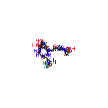 N=C(NCC/C=C1\NC(=O)/C(=C/CCCNC(=O)c2ccc(N/N=C/c3ccccc3S(=O)(=O)O)nc2)NC(=O)[C@@H](Cc2ccc(O)cc2)NC(=O)/C(=C\C(=O)O)NC(=O)CNC1=O)NC(=O)C(F)(F)F